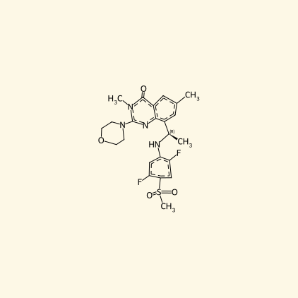 Cc1cc([C@@H](C)Nc2cc(F)c(S(C)(=O)=O)cc2F)c2nc(N3CCOCC3)n(C)c(=O)c2c1